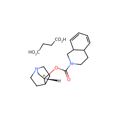 O=C(O)CCC(=O)O.O=C(O[C@H]1CN2CCC1CC2)N1CCC2C=CC=CC2C1